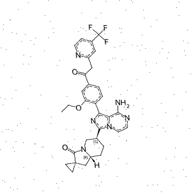 CCOc1cc(C(=O)Cc2cc(C(F)(F)F)ccn2)ccc1-c1nc([C@H]2CC[C@@H]3CC4(CC4)C(=O)N3C2)n2ccnc(N)c12